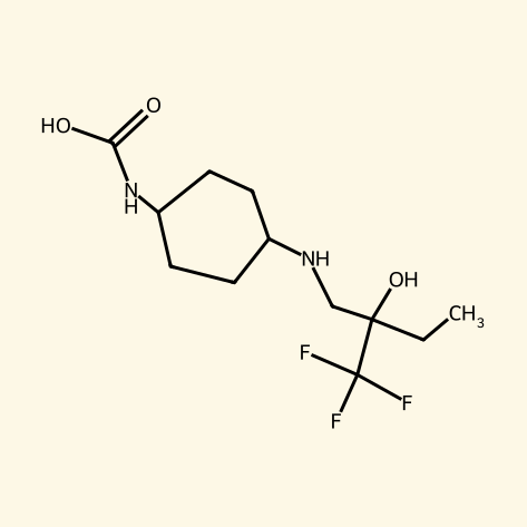 CCC(O)(CNC1CCC(NC(=O)O)CC1)C(F)(F)F